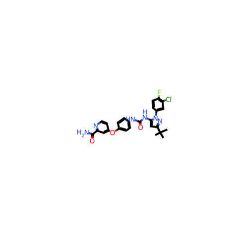 CC(C)(C)c1cc(NC(=O)Nc2ccc(Oc3ccnc(C(N)=O)c3)cc2)n(-c2ccc(F)c(Cl)c2)n1